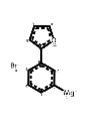 [Br-].[Mg+][c]1cccc(-c2ccco2)c1